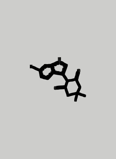 CC1(C)CC(=O)C(c2c[nH]c3cc(F)ccc23)C(=O)C1